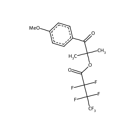 COc1ccc(C(=O)C(C)(C)OC(=O)C(F)(F)C(F)(F)C(F)(F)F)cc1